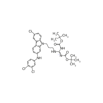 CC(C)(C)OC(=O)/N=C(/NCCCn1c2ccc(Cl)cc2c2ccc(Nc3ccc(Cl)c(Cl)c3)cc21)NC(=O)OC(C)(C)C